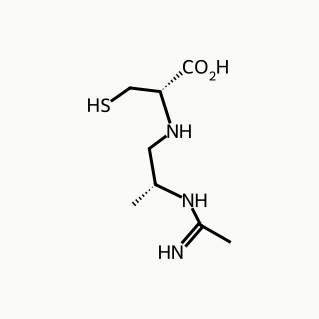 CC(=N)N[C@H](C)CN[C@H](CS)C(=O)O